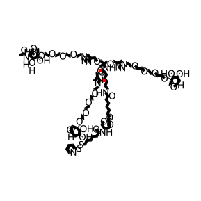 CC(=O)N[C@H]1[C@H]2OC[C@](OCCOCCOCCOCCn3cc(COCC(COCc4cn(CCOCCOCCOCCOC[C@]56CO[C@H](C[C@@H](O)[C@H]5O)O6)nn4)(COCc4cn(CCOCCOCCOCCOC[C@]56CO[C@H](C[C@@H](O)[C@H]5O)O6)n4C)NC(=O)CCCCCNC(=O)CCCCCOC4OCC(NC(=O)CCCCCSSc5ccccn5)CO4)nn3)(O2)[C@H](O)[C@@H]1O